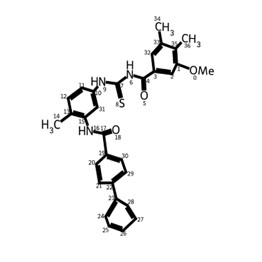 COc1cc(C(=O)NC(=S)Nc2ccc(C)c(NC(=O)c3ccc(-c4ccccc4)cc3)c2)cc(C)c1C